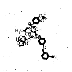 CC(C)CN(C[C@@H](O)[C@H](Cc1ccc(OCc2cccc(C#N)c2)cc1)NC(=O)O[C@H]1CO[C@H]2OCC[C@H]21)S(=O)(=O)c1ccc2c(c1)OC(F)(F)O2